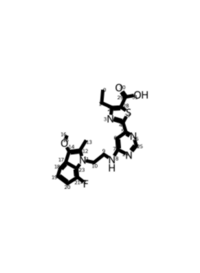 CCc1nc(-c2cc(NCCn3c(C)c(OC)c4cccc(F)c43)ncn2)sc1C(=O)O